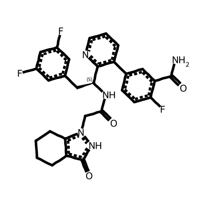 NC(=O)c1cc(-c2cccnc2[C@H](Cc2cc(F)cc(F)c2)NC(=O)Cn2[nH]c(=O)c3c2CCCC3)ccc1F